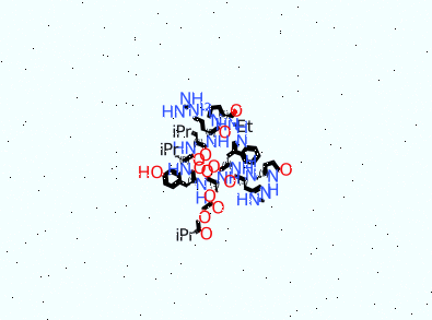 CCNC(=O)[C@@H]1CCCN1C(=O)[C@H](CCCNC(=N)N)NC(=O)[C@H](CC(C)C)NC(=O)[C@@H](CC(C)C)NC(=O)[C@H](Cc1ccc(O)cc1)NC(=O)[C@H](COC(=O)COCC(=O)C(C)C)NC(=O)[C@H](Cc1c[nH]c2ccccc12)NC(=O)[C@H](Cc1cnc[nH]1)NC[C@@H]1CCC(=O)N1